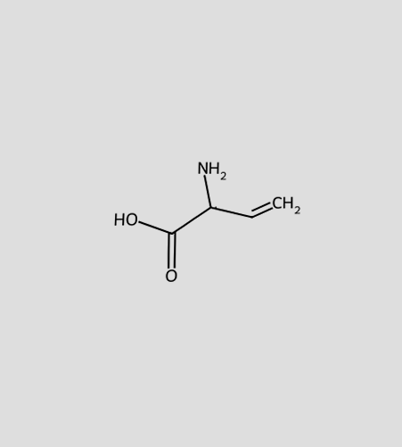 C=C[C](N)C(=O)O